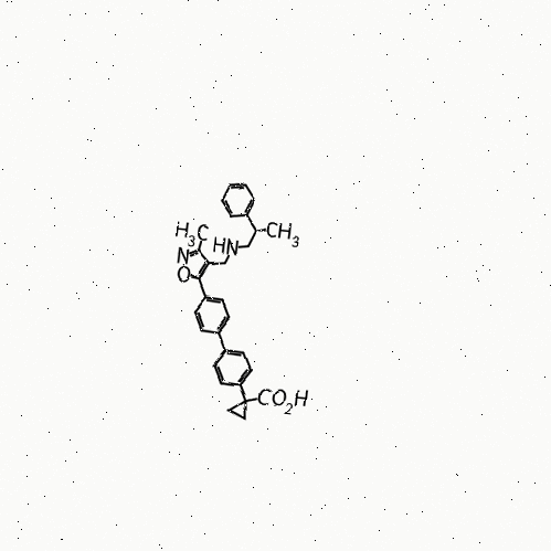 Cc1noc(-c2ccc(-c3ccc(C4(C(=O)O)CC4)cc3)cc2)c1CNC[C@H](C)c1ccccc1